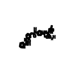 Cc1cc(C(=O)N[C@@H](CC(=O)O)c2ccc(NC(=O)Cc3ccc4nc(Nc5ccccn5)oc4c3)cc2)no1